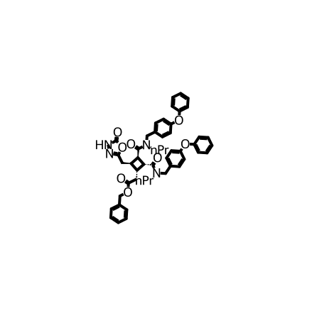 CCCN(Cc1ccc(Oc2ccccc2)cc1)C(=O)[C@@H]1[C@H](CC(=O)OCc2ccccc2)[C@@H](Cc2n[nH]c(=O)o2)[C@H]1C(=O)N(CCC)Cc1ccc(Oc2ccccc2)cc1